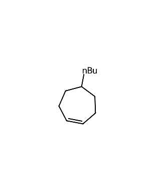 CCCCC1CCC=CCC1